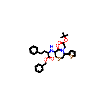 CC(C)(C)OC(=O)CN1C(=O)C(NC(CCc2ccccc2)C(=O)OCc2ccccc2)CSCC1c1cccs1